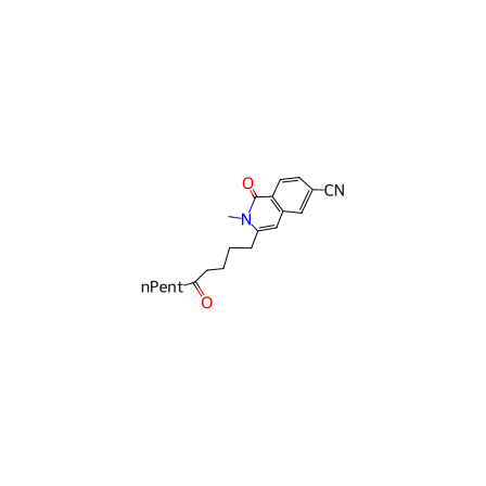 CCCCCC(=O)CCCCc1cc2cc(C#N)ccc2c(=O)n1C